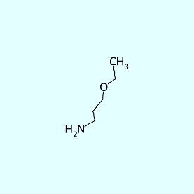 CCOCCCN